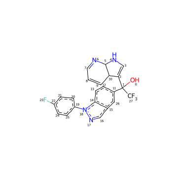 OC(C1=CNC2N=CC=CC12)(c1ccc2c(cnn2-c2ccc(F)cc2)c1)C(F)(F)F